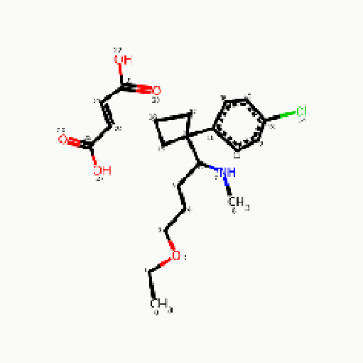 CCOCCCC(NC)C1(c2ccc(Cl)cc2)CCC1.O=C(O)C=CC(=O)O